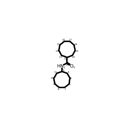 O=C(NC1CCCCCCCC1)C1CCCCCCCC1